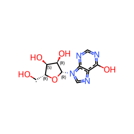 O[CH][C@H]1O[C@@H](n2cnc3c(O)ncnc32)[C@H](O)[C@@H]1O